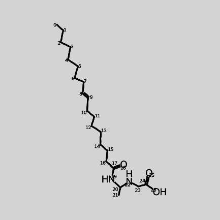 CCCCCCCCC=CCCCCCCCC(=O)NC(C)NCC(=O)O